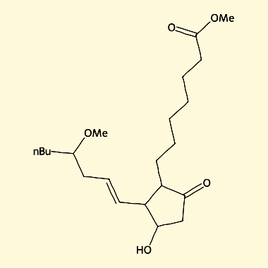 CCCCC(CC=CC1C(O)CC(=O)C1CCCCCCC(=O)OC)OC